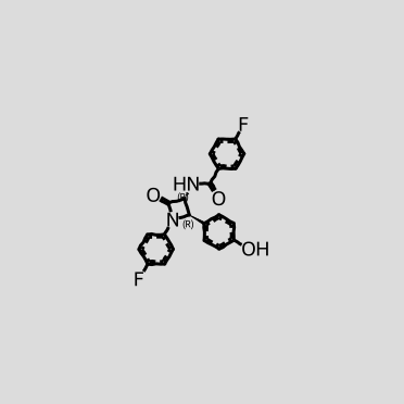 O=C(N[C@H]1C(=O)N(c2ccc(F)cc2)[C@@H]1c1ccc(O)cc1)c1ccc(F)cc1